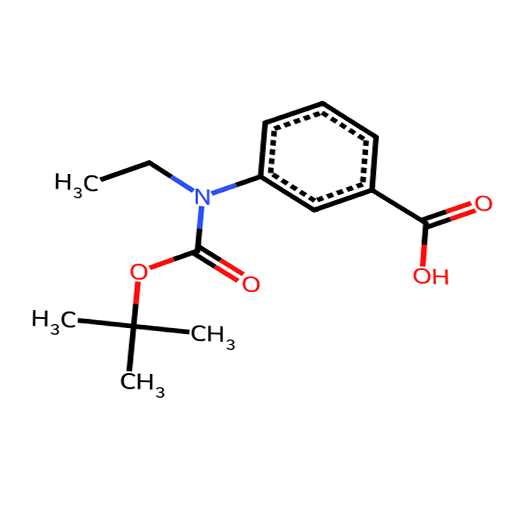 CCN(C(=O)OC(C)(C)C)c1cccc(C(=O)O)c1